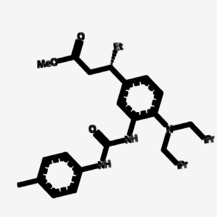 [CH2]OC(=O)C[C@H](CC)c1ccc(N(CC(C)C)CC(C)C)c(NC(=O)Nc2ccc(C)cc2)c1